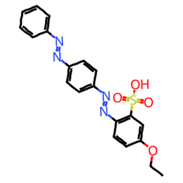 CCOc1ccc(N=Nc2ccc(N=Nc3ccccc3)cc2)c(S(=O)(=O)O)c1